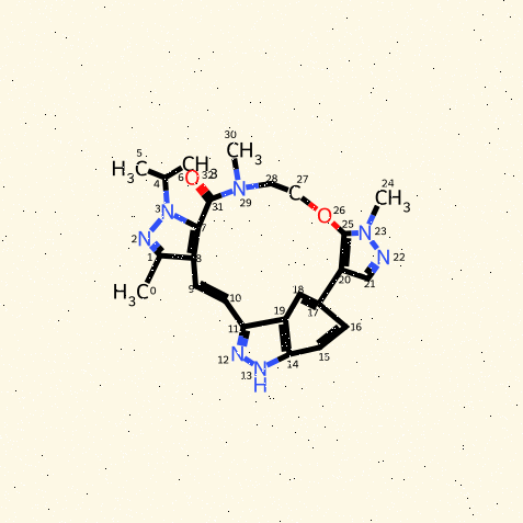 Cc1nn(C(C)C)c2c1/C=C/c1n[nH]c3ccc(cc13)-c1cnn(C)c1OCCN(C)C2=O